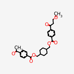 COCCC(=O)c1ccc(C(=O)OCC2CCC(COC(=O)c3ccc(C(C)=O)cc3)CC2)cc1